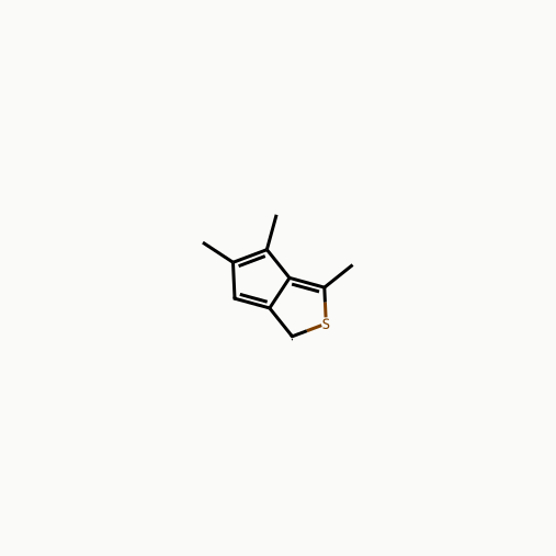 CC1=C(C)C2=C(C)S[CH]C2=C1